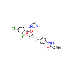 COC(=O)Nc1ccc(SC[C@@H]2CO[C@@](Cn3ccnc3)(c3ccc(Cl)cc3Cl)O2)cc1